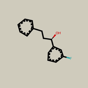 O[C@H](CCc1ccccc1)c1cccc(F)c1